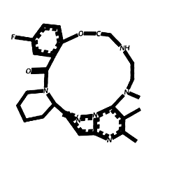 Cc1nc2cc3nn2c(c1C)N(C)CCNCCOc1ccc(F)cc1C(=O)N1CCCCC31